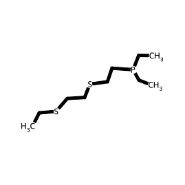 CCSCCSCCP(CC)CC